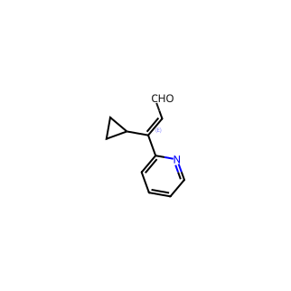 O=C/C=C(/c1ccccn1)C1CC1